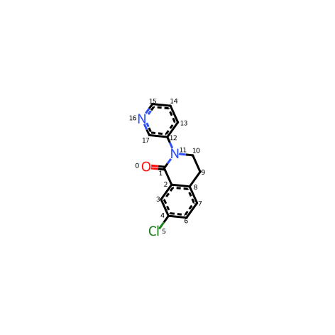 O=C1c2cc(Cl)ccc2CCN1c1cccnc1